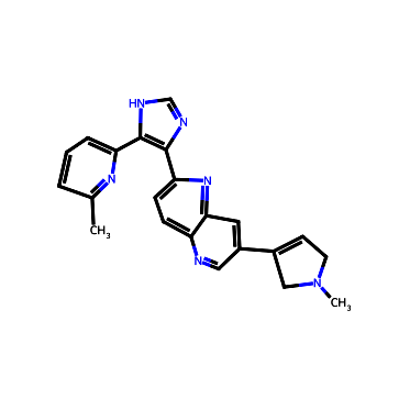 Cc1cccc(-c2[nH]cnc2-c2ccc3ncc(C4=CCN(C)C4)cc3n2)n1